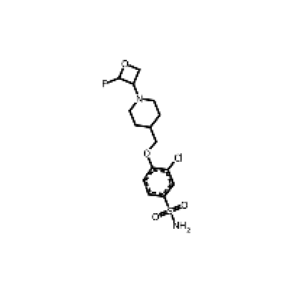 NS(=O)(=O)c1ccc(OCC2CCN(C3COC3F)CC2)c(Cl)c1